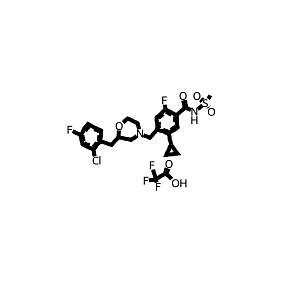 CS(=O)(=O)NC(=O)c1cc(C2CC2)c(CN2CCOC(Cc3ccc(F)cc3Cl)C2)cc1F.O=C(O)C(F)(F)F